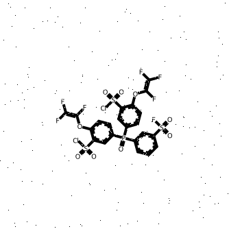 O=P(c1cccc(S(=O)(=O)F)c1)(c1ccc(OC(F)=C(F)F)c(S(=O)(=O)Cl)c1)c1ccc(OC(F)=C(F)F)c(S(=O)(=O)Cl)c1